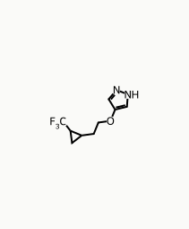 FC(F)(F)C1CC1CCOc1cn[nH]c1